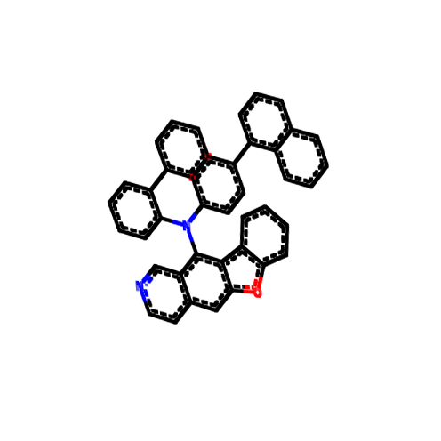 c1ccc(-c2ccccc2N(c2ccc(-c3cccc4ccccc34)cc2)c2c3cnccc3cc3oc4ccccc4c23)cc1